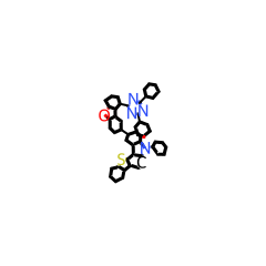 c1ccc(-c2nc(-c3ccccc3)nc(-c3cccc4oc5ccc(-c6ccc7c(c6)c6c8sc9ccccc9c8ccc6n7-c6ccccc6)cc5c34)n2)cc1